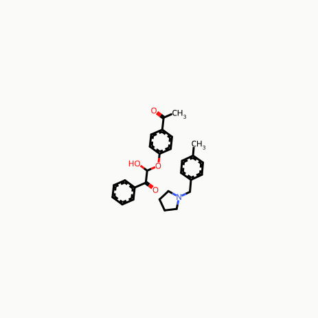 CC(=O)c1ccc(OC(O)C(=O)c2ccccc2)cc1.Cc1ccc(CN2CCCC2)cc1